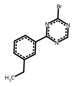 CCc1cccc(-c2ncnc(Br)n2)c1